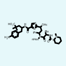 CCCCCCN(C(=O)C(NC(=O)[C@H]1CCCCN1C)C(C)CC)C(CC(OC(C)=O)c1nc(C(=O)NC(Cc2ccc(N)cc2)CC(C)(C)C(=O)O)cs1)C(C)C